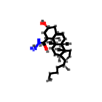 CC(C)CCC[C@@H](C)[C@H]1CC[C@H]2[C@@H]3CC=C4C[C@@H](O)CC(C(=O)NN)[C@]4(C)[C@H]3CC[C@]12C